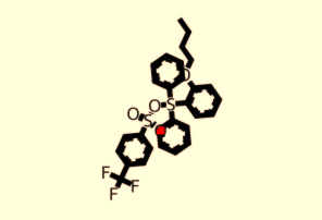 CCCCOc1ccccc1S(OS(=O)(=O)c1ccc(C(F)(F)F)cc1)(c1ccccc1)c1ccccc1